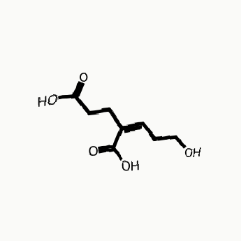 O=C(O)CCC(=CCCO)C(=O)O